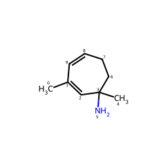 CC1=CC(C)(N)CCC=C1